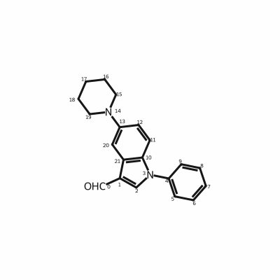 O=Cc1cn(-c2ccccc2)c2ccc(N3CCCCC3)cc12